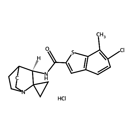 Cc1c(Cl)ccc2cc(C(=O)N[C@@H]3C4CCN(CC4)C34CC4)sc12.Cl